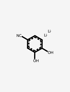 N#Cc1ccc(O)c(O)c1.[Li].[Li]